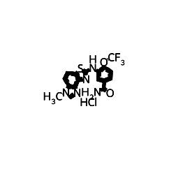 Cl.Cn1cnc2c3nc(Nc4cc(C(N)=O)ccc4OC(F)(F)F)sc3ccc21